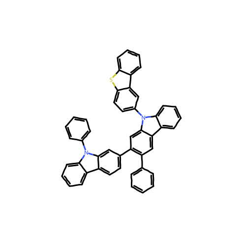 c1ccc(-c2cc3c4ccccc4n(-c4ccc5sc6ccccc6c5c4)c3cc2-c2ccc3c4ccccc4n(-c4ccccc4)c3c2)cc1